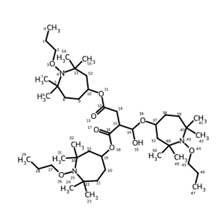 CCCON1C(C)(C)CCC(OC(=O)CC(C(=O)OC2CCC(C)(C)N(OCCC)C(C)(C)C2)C(O)OC2CCC(C)(C)N(OCCC)C(C)(C)C2)CC1(C)C